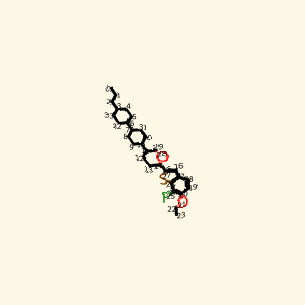 CCCC1CCC(C2CCC(C3CCC(c4cc5ccc(OCC)c(F)c5s4)OC3)CC2)CC1